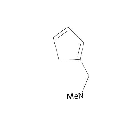 CNCC1=CC=CC1